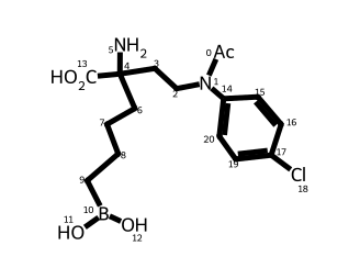 CC(=O)N(CCC(N)(CCCCB(O)O)C(=O)O)c1ccc(Cl)cc1